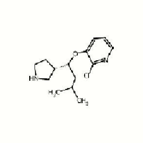 CC(C)CC(Oc1cccnc1Cl)[C@H]1CCNC1